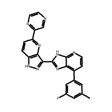 Cc1cc(F)cc(-c2ccnc3[nH]c(-c4n[nH]c5ccc(-c6cnccn6)nc45)nc23)c1